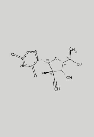 C#C[C@@]1(F)C(O)[C@@H]([C@@H](C)O)O[C@H]1n1ncc(=O)[nH]c1=O